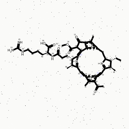 CC[C@H]1C2Cc3[nH]c4c(c3C)C(=O)C(C(=O)OC)/C4=C3N=C(/C=c4\[nH]/c(c(C(C)=O)c4C)=C\C(=N2)[C@@H]1C)[C@@H](C)[C@@H]/3CCC(=O)N[C@@H](CCCCNC(=N)N)C(=O)O